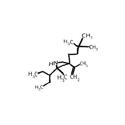 C=C(C)C1(CCC(C)(C)C)NC1(C)C(CC)CC